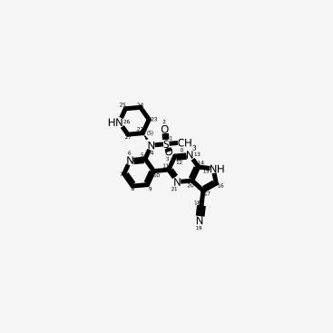 CS(=O)(=O)N(c1ncccc1-c1cnc2[nH]cc(C#N)c2n1)[C@H]1CCCNC1